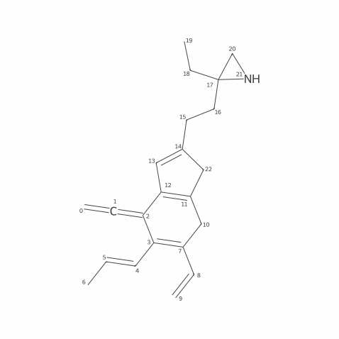 C=C=C1C(C=CC)=C(C=C)CC2=C1C=C(CCC1(CC)CN1)C2